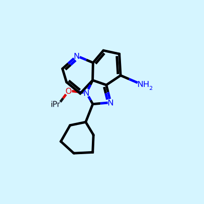 CC(C)ON1C(C2CCCCC2)N=C2C(N)=CC=C3N=CC=CC321